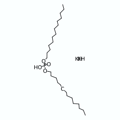 CCCCCCCCCCCCCCOP(=O)(O)OCCCCCCCCCCCCCC.[KH].[KH]